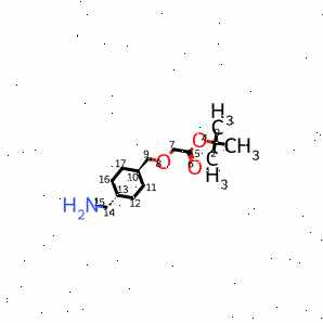 CC(C)(C)OC(=O)COC[C@H]1CC[C@H](CN)CC1